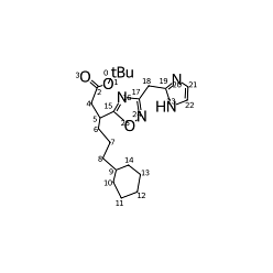 CC(C)(C)OC(=O)CC(CCCC1CCCCC1)c1nc(Cc2ncc[nH]2)no1